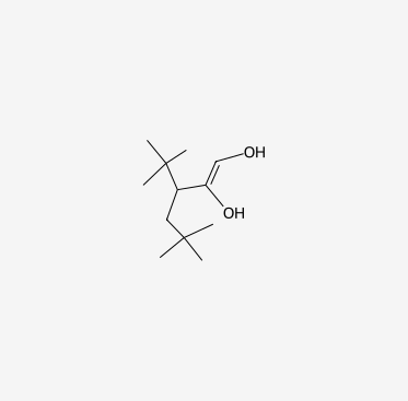 CC(C)(C)CC(/C(O)=C/O)C(C)(C)C